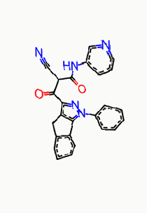 N#CC(C(=O)Nc1cccnc1)C(=O)c1nn(-c2ccccc2)c2c1Cc1ccccc1-2